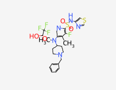 Cc1c(N(C)C2CCN(Cc3ccccc3)CC2)cnc(S(=O)(=O)Nc2cscn2)c1F.O=C(O)C(F)(F)F